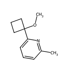 COC1(c2cccc(C)n2)CCC1